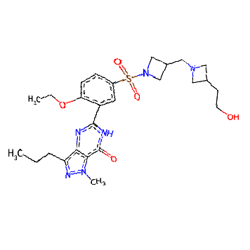 CCCc1nn(C)c2c(=O)[nH]c(-c3cc(S(=O)(=O)N4CC(CN5CC(CCO)C5)C4)ccc3OCC)nc12